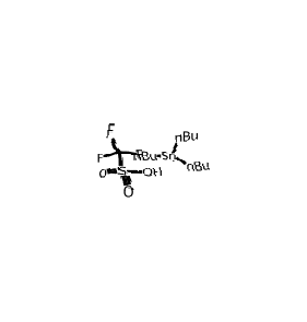 CCC[CH2][Sn]([CH2]CCC)[CH2]CCC.O=S(=O)(O)C(F)(F)F